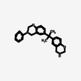 CC(C)(c1ccc2c(c1)CNCO2)c1ccc2c(c1)CN(c1ccccc1)CO2